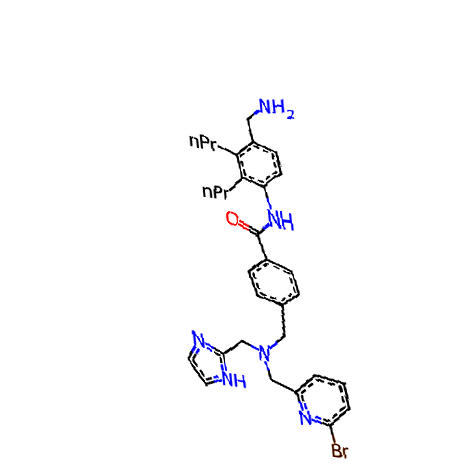 CCCc1c(CN)ccc(NC(=O)c2ccc(CN(Cc3cccc(Br)n3)Cc3ncc[nH]3)cc2)c1CCC